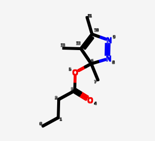 CCCC(=O)OC1(C)N=NC(C)=C1C